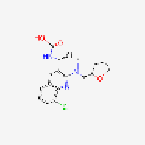 C[C@H](NC(=O)O)c1cc2cccc(Cl)c2nc1NC[C@H]1CCCO1